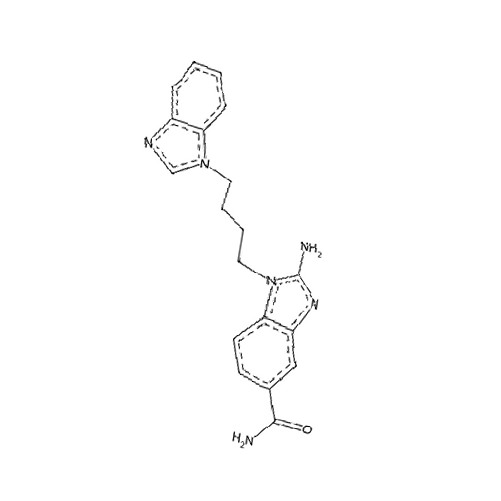 NC(=O)c1ccc2c(c1)nc(N)n2CCCCn1cnc2ccccc21